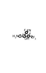 N#Cc1ccc(-c2nc(N3CCC(N)CC3)cc(O)c2-c2ccc(OC(F)(F)F)c(F)c2)cc1F